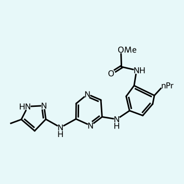 CCCc1ccc(Nc2cncc(Nc3cc(C)[nH]n3)n2)cc1NC(=O)OC